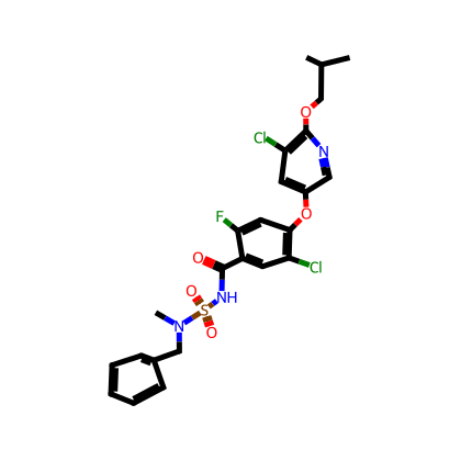 CC(C)COc1ncc(Oc2cc(F)c(C(=O)NS(=O)(=O)N(C)Cc3ccccc3)cc2Cl)cc1Cl